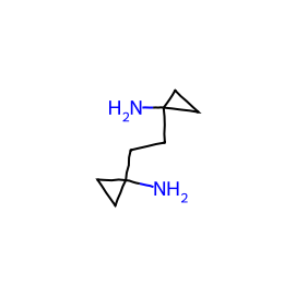 NC1(CCC2(N)CC2)CC1